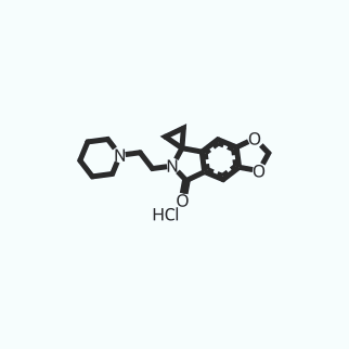 Cl.O=C1c2cc3c(cc2C2(CC2)N1CCN1CCCCC1)OCO3